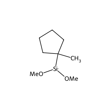 CO[Si](OC)C1(C)CCCC1